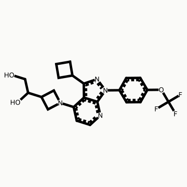 OCC(O)C1CN(c2ccnc3c2c(C2CCC2)nn3-c2ccc(OC(F)(F)F)cc2)C1